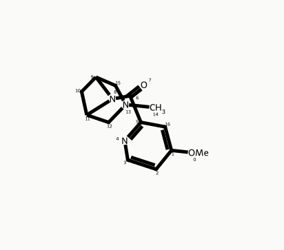 COc1ccnc(C(=O)N2C3CC2CN(C)C3)c1